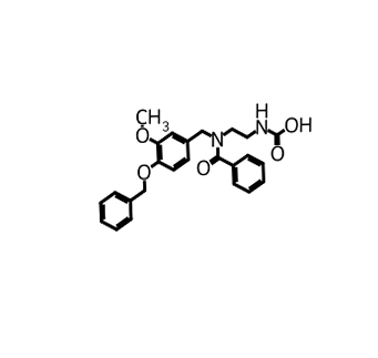 COc1cc(CN(CCNC(=O)O)C(=O)c2ccccc2)ccc1OCc1ccccc1